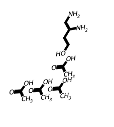 CC(=O)O.CC(=O)O.CC(=O)O.CC(=O)O.NCC(N)CCO